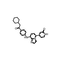 O=C(CC1CCCCC1)c1ccc(Nc2ccc(-c3cc[nH]c(=O)c3)n3ccnc23)cc1